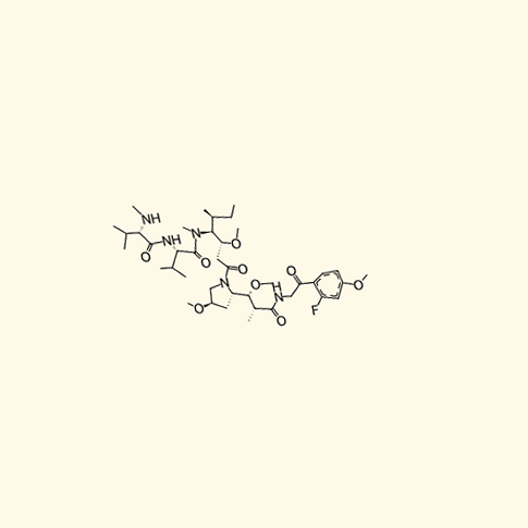 CC[C@H](C)[C@@H]([C@@H](CC(=O)N1C[C@H](OC)C[C@H]1[C@H](OC)[C@@H](C)C(=O)NCC(=O)c1ccc(OC)cc1F)OC)N(C)C(=O)[C@@H](NC(=O)[C@@H](NC)C(C)C)C(C)C